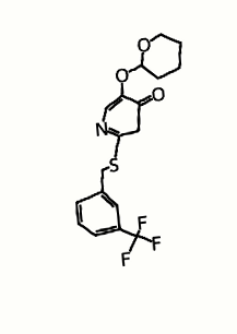 O=C1CC(SCc2cccc(C(F)(F)F)c2)=NC=C1OC1CCCCO1